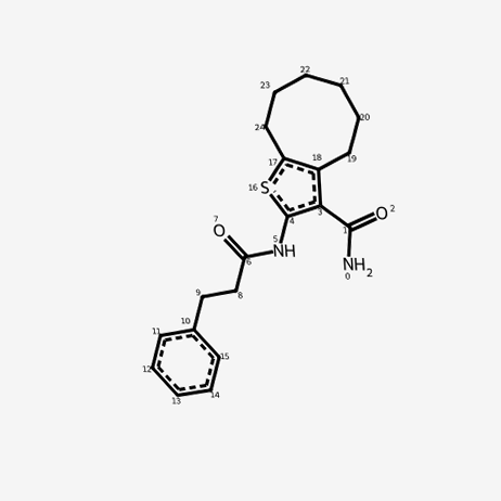 NC(=O)c1c(NC(=O)CCc2ccccc2)sc2c1CCCCCC2